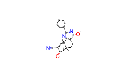 COc1nc(-c2ccccc2)nc2c1CC[C@@]13CC1(C)C(=O)C(C#N)=C[C@]23C